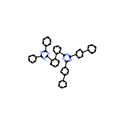 c1ccc(-c2ccc(-c3nc(-c4ccc(-c5ccccc5)cc4)nc(-c4ccccc4-c4ccccc4-c4nc(-c5ccccc5)nc(-c5ccccc5)n4)n3)cc2)cc1